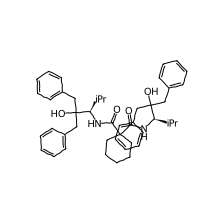 CC(C)[C@@H](NC(=O)C1(C(=O)N[C@H](C(C)C)C(O)(Cc2ccccc2)Cc2ccccc2)CCCCC1)C(O)(Cc1ccccc1)Cc1ccccc1